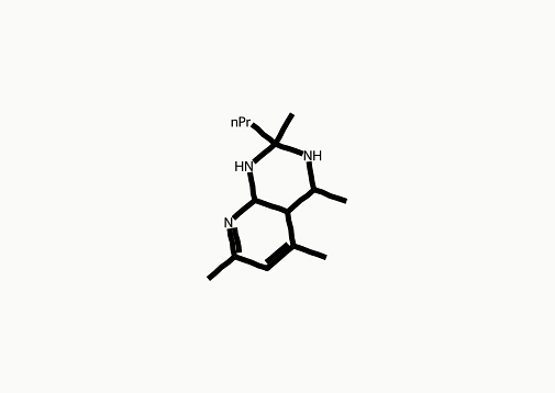 CCCC1(C)NC(C)C2C(C)=CC(C)=NC2N1